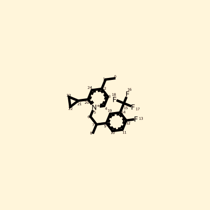 CCc1cc[n+](CC(C)c2ccc(F)c(C(F)(F)F)c2)c(C2CC2)c1